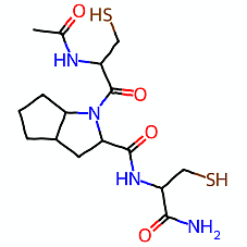 CC(=O)NC(CS)C(=O)N1C(C(=O)NC(CS)C(N)=O)CC2CCCC21